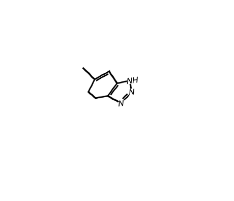 CC1=Cc2[nH]nnc2CC1